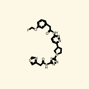 O=C(Cc1cccc(OCF)c1)Nc1ccc(C2CCN(c3nnc(NC(=O)Cc4cscn4)s3)C2)nn1